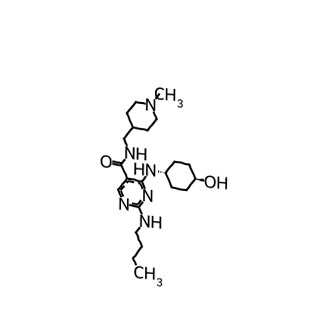 CCCCNc1ncc(C(=O)NCC2CCN(C)CC2)c(N[C@H]2CC[C@H](O)CC2)n1